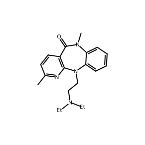 CCN(CC)CCN1c2ccccc2N(C)C(=O)c2ccc(C)nc21